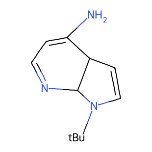 CC(C)(C)N1C=CC2C(N)=CC=NC21